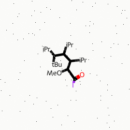 COC(C(=O)I)C(C(C)C)C(C(C)C)C(C(C)C)C(C)(C)C